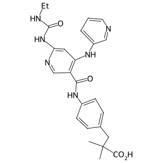 CCNC(=O)Nc1cc(Nc2cccnc2)c(C(=O)Nc2ccc(CC(C)(C)C(=O)O)cc2)cn1